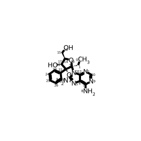 CC[C@@]1(n2cnc3c(N)ncnc32)O[C@H](CO)[C@@H](O)[C@]1(ON)c1ccccc1